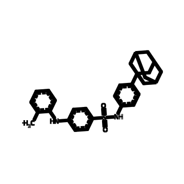 [CH2]c1ccccc1Nc1ccc(S(=O)(=O)Nc2ccc(C34CC5CC(CC(C5)C3)C4)cc2)cc1